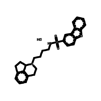 Cl.O=S(=O)(NCCCCN1CCc2cccc3c2C1CC3)c1ccc2oc3ccccc3c2c1